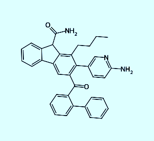 CCCCc1c(-c2ccc(N)nc2)c(C(=O)c2ccccc2-c2ccccc2)cc2c1C(C(N)=O)c1ccccc1-2